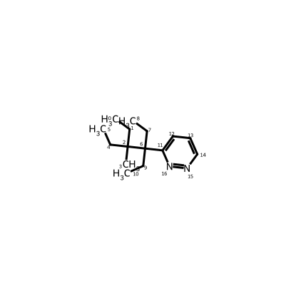 CCC(C)(CC)C(CC)(CC)c1cccnn1